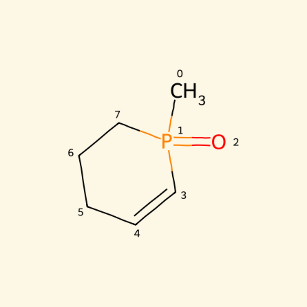 CP1(=O)C=CCCC1